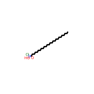 CCCCCCCCCCCCCCCCCCCCCCCCCC(=O)N(O)Cl